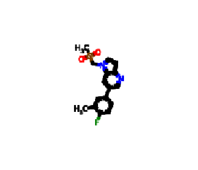 Cc1cc(-c2cnc3ccn(CS(C)(=O)=O)c3c2)ccc1F